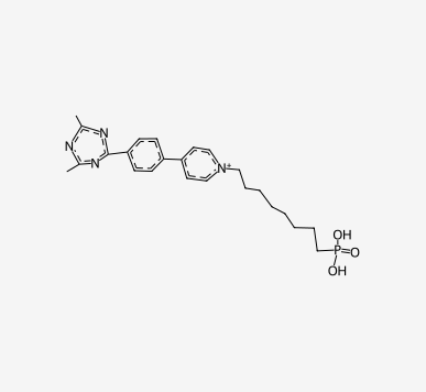 Cc1nc(C)nc(-c2ccc(-c3cc[n+](CCCCCCCCP(=O)(O)O)cc3)cc2)n1